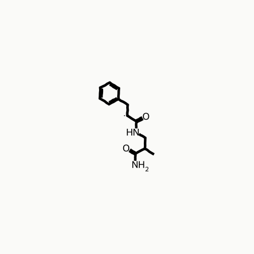 CC(CNC(=O)[CH]Cc1ccccc1)C(N)=O